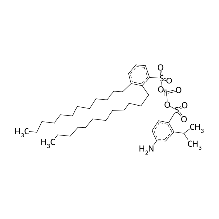 CCCCCCCCCCCCc1cccc(S(=O)(=O)[O][Ti](=[O])[O]S(=O)(=O)c2ccc(N)cc2C(C)C)c1CCCCCCCCCCCC